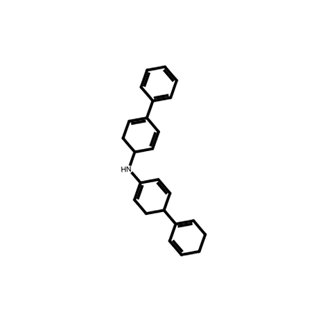 C1=CC(C2C=CC(NC3C=CC(c4ccccc4)=CC3)=CC2)=CCC1